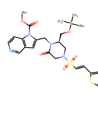 CC(C)(C)OC(=O)n1c(CN2C(=O)CN(S(=O)(=O)C=Cc3ccc(Cl)s3)C[C@@H]2CO[Si](C)(C)C(C)(C)C)cc2cnccc21